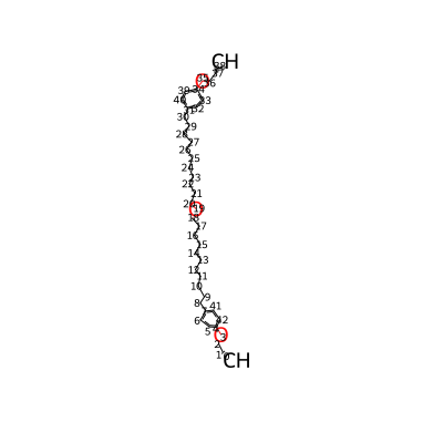 C#CCOc1ccc(CCCCCCCCCCCOCCCCCCCCCCCc2ccc(OCC#C)cc2)cc1